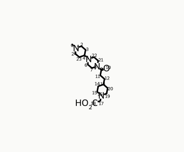 CN1CCC(N2CCN(C(=O)CCC3CCN(CC(=O)O)CC3)CC2)CC1